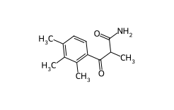 Cc1ccc(C(=O)C(C)C(N)=O)c(C)c1C